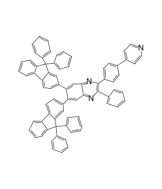 c1ccc(-c2nc3cc(-c4ccc5c(c4)C(c4ccccc4)(c4ccccc4)c4ccccc4-5)c(-c4ccc5c(c4)C(c4ccccc4)(c4ccccc4)c4ccccc4-5)cc3nc2-c2ccc(-c3ccncc3)cc2)cc1